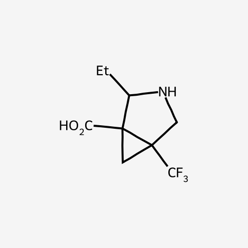 CCC1NCC2(C(F)(F)F)CC12C(=O)O